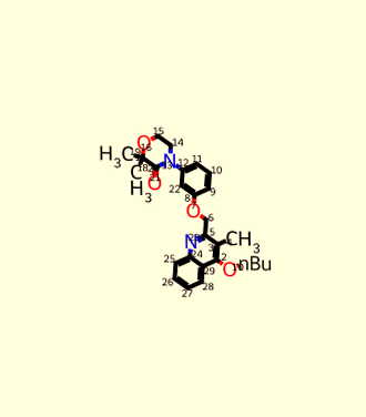 CCCCOc1c(C)c(COc2cccc(N3CCOC(C)(C)C3=O)c2)nc2ccccc12